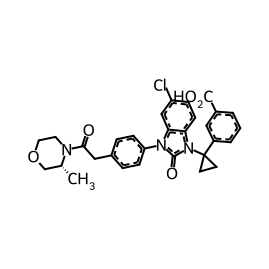 C[C@@H]1COCCN1C(=O)Cc1ccc(-n2c(=O)n(C3(c4cccc(C(=O)O)c4)CC3)c3ccc(Cl)cc32)cc1